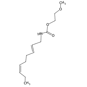 CC/C=C\CC/C=C/CNC(=O)OCCOC